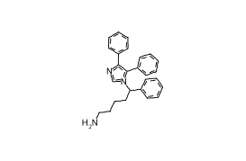 NCCCCC(c1ccccc1)n1cnc(-c2ccccc2)c1-c1ccccc1